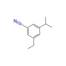 CCc1cc(C#N)cc(C(C)C)c1